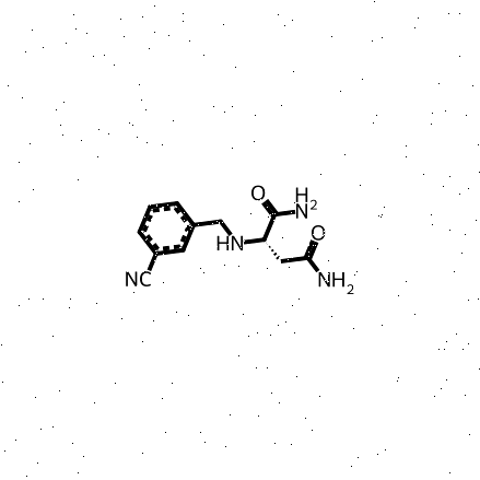 N#Cc1cccc(CN[C@@H](CC(N)=O)C(N)=O)c1